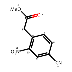 COC(=O)Cc1ccc(C#N)cc1[N+](=O)[O-]